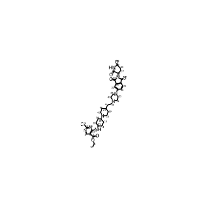 CCOC(=O)c1cnc(Cl)nc1NC1CCC(N2CCC(CCN3CCN(c4ccc5c(c4)C(=O)N(C4CCC(=O)NC4=O)C5=O)CC3)CC2)CC1